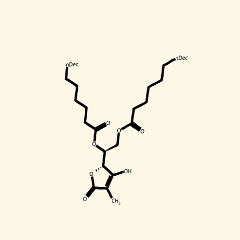 CCCCCCCCCCCCCCCC(=O)OC[C@H](OC(=O)CCCCCCCCCCCCCCC)[C@H]1OC(=O)C(C)=C1O